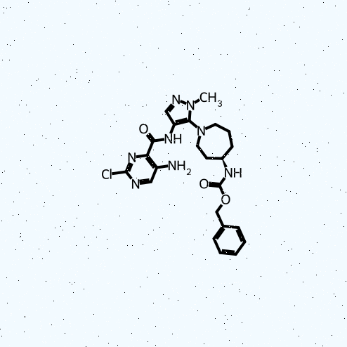 Cn1ncc(NC(=O)c2nc(Cl)ncc2N)c1N1CCC[C@@H](NC(=O)OCc2ccccc2)CC1